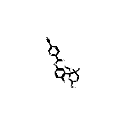 N#Cc1ccc(C(=O)Nc2ccc(F)c([C@@]3(CF)N=C(N)CCC3(F)F)c2)nc1